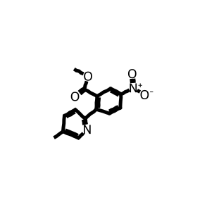 COC(=O)c1cc([N+](=O)[O-])ccc1-c1ccc(C)cn1